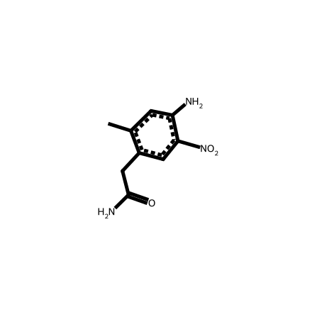 Cc1cc(N)c([N+](=O)[O-])cc1CC(N)=O